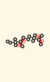 c1ccc2cc(-c3c4ccccc4c(-c4cc5c6cccc(-c7cccc8c(-c9c%10ccccc%10c(-c%10cc%11c%12ccccc%12oc%11c%11c%10oc%10ccccc%10%11)c%10ccccc9%10)cccc78)c6oc5c5c4oc4ccccc45)c4ccccc34)ccc2c1